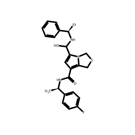 CC[C@@H](NC(O)c1cc(C(=O)N[C@H](C)c2ccc(F)cc2)c2n1CSC2)c1ccccc1